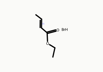 Br.C/C=C/C(=O)OCC